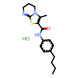 CCCCc1ccc(NC(=O)C2=C(C)N3CCCN=C3S2)cc1.Cl